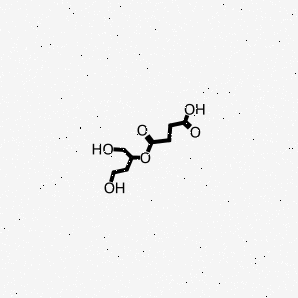 O=C(O)CCC(=O)OC(CO)CCO